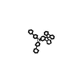 C1=CC2c3cc(N(c4ccc(-c5ccccc5)cc4)c4ccc(-c5ccccc5)cc4)ccc3C3(c4ccccc4-c4ccccc43)C2C=C1